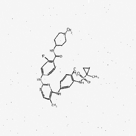 Cc1ccc(Nc2nc(Nc3ccc(C(=O)NC4CCN(C)CC4)c(F)c3)ncc2C)cc1NS(=O)(=O)C1(C)CC1